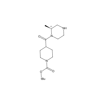 C[C@H]1CNCCN1C(=O)C1CCN(C(=O)OC(C)(C)C)CC1